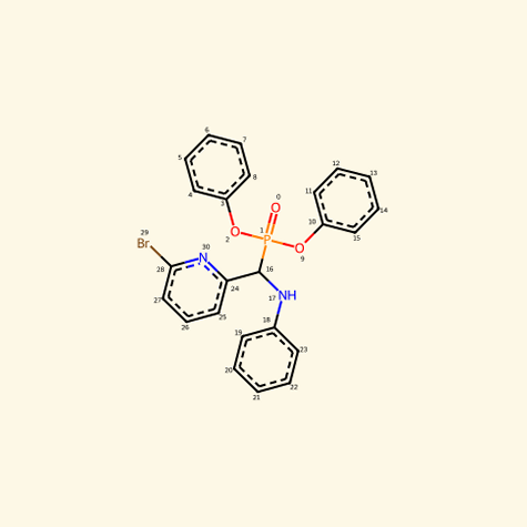 O=P(Oc1ccccc1)(Oc1ccccc1)C(Nc1ccccc1)c1cccc(Br)n1